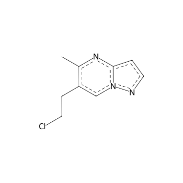 Cc1nc2ccnn2cc1CCCl